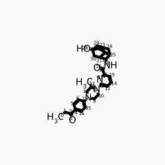 CCC(=O)c1ccc(N2CCN(c3cccc(C(=O)NC4C5CC6CC4CC(O)(C6)C5)n3)[C@H](C)C2)cc1